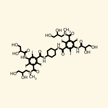 CN(CC(O)CO)C(=O)c1c(I)c(NC(=O)C(O)CO)c(I)c(C(=O)NC2CCC(NC(=O)c3c(I)c(NC(=O)C(O)CO)c(I)c(C(=O)N(C)CC(O)CO)c3I)CC2)c1I